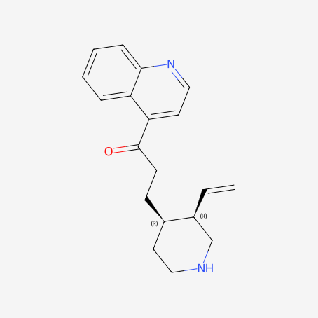 C=C[C@H]1CNCC[C@H]1CCC(=O)c1ccnc2ccccc12